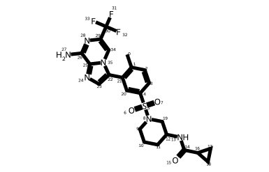 Cc1ccc(S(=O)(=O)N2CCCC(NC(=O)C3CC3)C2)cc1-c1cnc2c(N)nc(C(F)(F)F)cn12